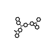 C=C1c2ccccc2-c2ccc(N(c3ccc(-c4ccc5c(c4)c4ccccc4n5-c4ccccc4)cc3)c3ccc4ccccc4c3)cc21